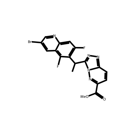 COC(=O)c1ccc2nnc(C(C)c3c(F)cc4ncc(Br)cc4c3F)n2n1